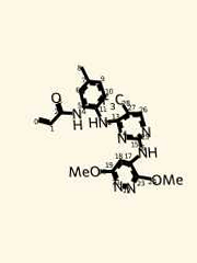 C=CC(=O)Nc1cc(C)ccc1Nc1nc(Nc2cc(OC)nnc2OC)ncc1C(F)(F)F